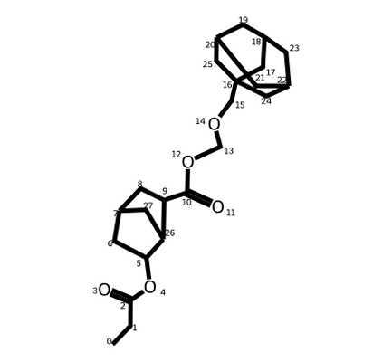 CCC(=O)OC1CC2CC(C(=O)OCOCC34CC5CC(CC(C5)C3)C4)C1C2